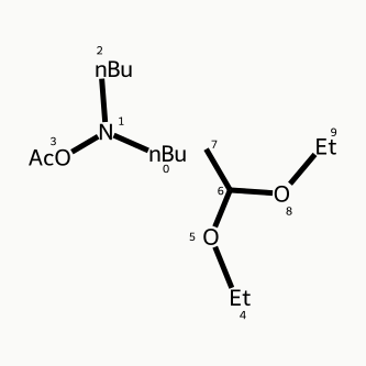 CCCCN(CCCC)OC(C)=O.CCOC(C)OCC